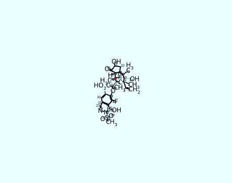 C=C[C@]1(C)C[C@@H](C(Oc2ccc3c(c2F)B(O)N(S(C)(=O)=O)N=C3)C(=O)O)[C@@]2(C)[C@H](C)CC[C@]3(CC(O)C(=O)[C@H]32)[C@@H](C)[C@@H]1O